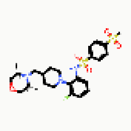 C[C@@H]1COC[C@@H](C)N1CC1CCN(c2c(F)cccc2NS(=O)(=O)c2ccc(S(C)(=O)=O)cc2)CC1